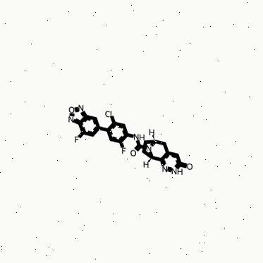 O=C(Nc1cc(Cl)c(-c2cc(F)c3nonc3c2)cc1F)N1[C@H]2CC[C@@H]1c1n[nH]c(=O)cc1C2